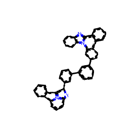 c1cc(-c2cccc(-c3nc4cccc5c6ccccc6c3n45)c2)cc(-c2ccc3c4ccccc4c4nc5ccccc5n4c3c2)c1